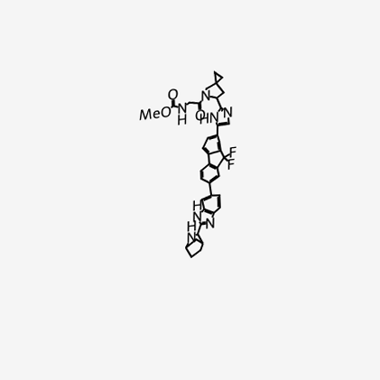 COC(=O)NCC(=O)N1CC2(CC2)CC1c1ncc(-c2ccc3c(c2)C(F)(F)c2cc(-c4ccc5nc(C6NC7CCC6C7)[nH]c5c4)ccc2-3)[nH]1